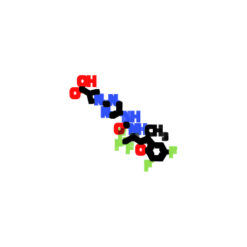 Cc1c([C@@H](NC(=O)Nc2cnc(N3CC(C(=O)O)C3)nc2)C(F)(F)F)oc2c(F)cc(F)cc12